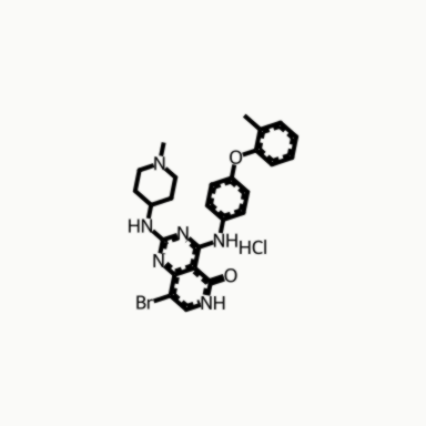 Cc1ccccc1Oc1ccc(Nc2nc(NC3CCN(C)CC3)nc3c(Br)c[nH]c(=O)c23)cc1.Cl